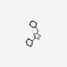 c1ccc(CC2N=NC(c3ccccc3)=N2)cc1